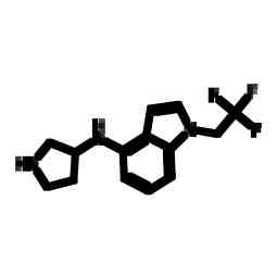 FC(F)(F)Cn1ccc2c(NC3CCNC3)cccc21